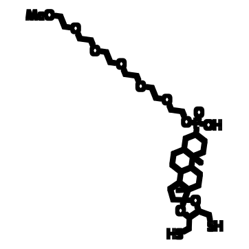 COCCOCCOCCOCCOCCOCCOP(=O)(O)C1CCC2(C)C(CCC3C2CCC2(C)C3CCC23OC(CS)C(CS)O3)C1